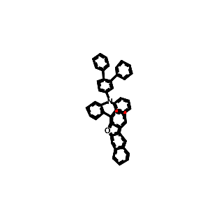 c1ccc(-c2ccc(N(c3ccccc3)c3ccccc3-c3cccc4c3oc3cc5ccccc5cc34)cc2-c2ccccc2)cc1